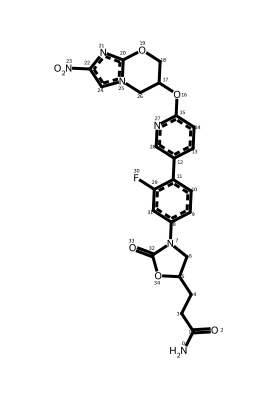 NC(=O)CCC1CN(c2ccc(-c3ccc(OC4COc5nc([N+](=O)[O-])cn5C4)nc3)c(F)c2)C(=O)O1